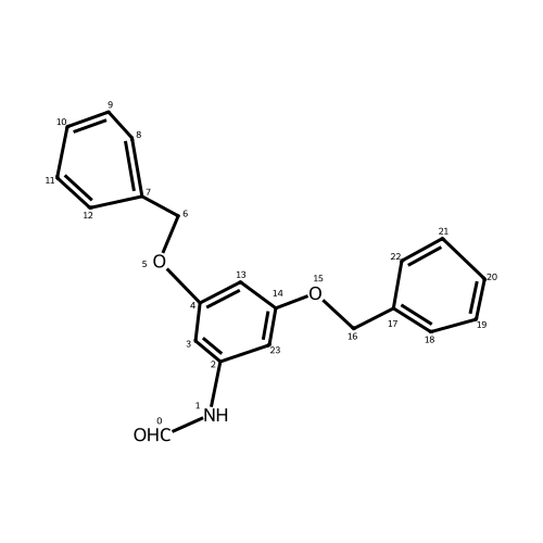 O=CNc1cc(OCc2ccccc2)cc(OCc2ccccc2)c1